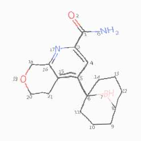 NC(=O)c1cc(C23BC(CCC2)CCC3)c2c(n1)COCC2